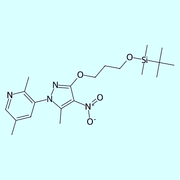 Cc1cnc(C)c(-n2nc(OCCCO[Si](C)(C)C(C)(C)C)c([N+](=O)[O-])c2C)c1